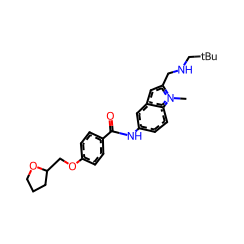 Cn1c(CNCC(C)(C)C)cc2cc(NC(=O)c3ccc(OCC4CCCO4)cc3)ccc21